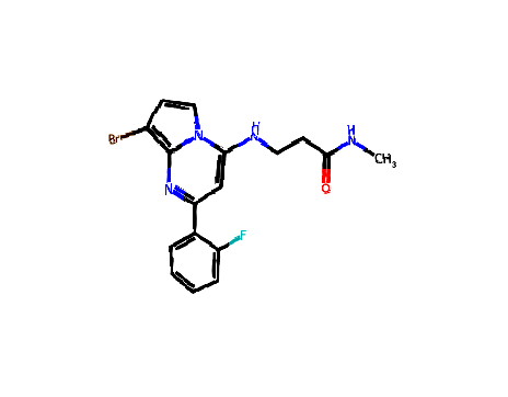 CNC(=O)CCNc1cc(-c2ccccc2F)nc2c(Br)ccn12